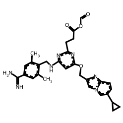 Cc1cc(C(=N)N)cc(C)c1CNc1cc(OCc2cn3cc(C4CC4)ccc3n2)nc(CCC(=O)OC=O)n1